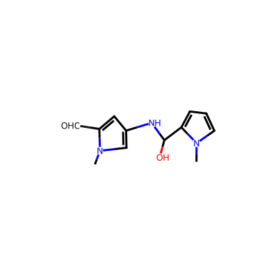 Cn1cc(NC(O)c2cccn2C)cc1C=O